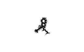 CC(C)CCCC(C)CCC1CCC2CCCC(C)C(C)CCCC2CCC1CC(=O)CCCCN(C)C